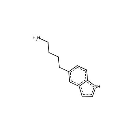 NCCCCc1ccc2[nH]ccc2c1